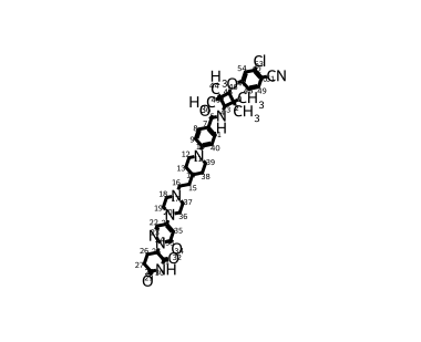 CC1(C)C(NC(=O)c2ccc(N3CCC(CCN4CCN(c5cnn(C6CCC(=O)NC6=O)c(=O)c5)CC4)CC3)cc2)C(C)(C)C1Oc1ccc(C#N)c(Cl)c1